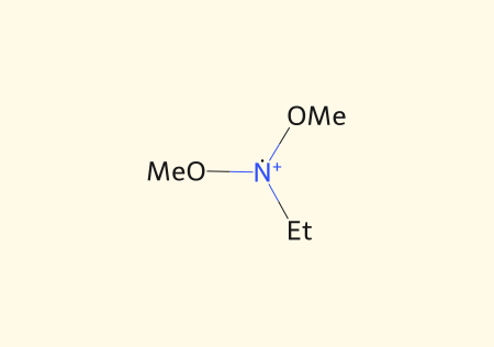 CC[N+](OC)OC